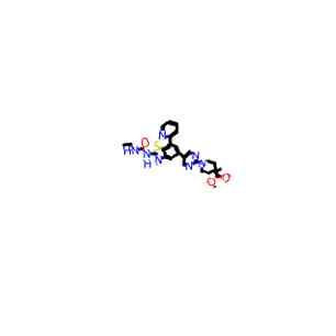 CCNC(=O)Nc1nc2cc(-c3cnc(N4CCC(C)(C(=O)OC)CC4)nc3)cc(-c3ccccn3)c2s1